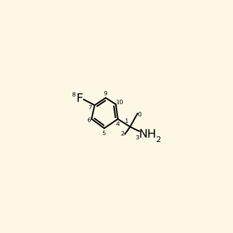 CC(C)(N)c1ccc(F)cc1